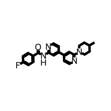 CC1CCN(c2cc(-c3ccnc(NC(=O)c4ccc(F)cc4)c3)ccn2)CC1